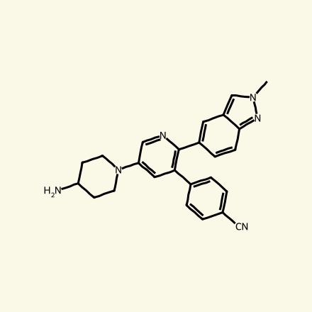 Cn1cc2cc(-c3ncc(N4CCC(N)CC4)cc3-c3ccc(C#N)cc3)ccc2n1